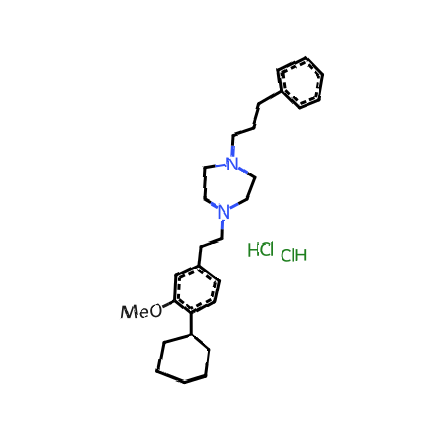 COc1cc(CCN2CCN(CCCc3ccccc3)CC2)ccc1C1CCCCC1.Cl.Cl